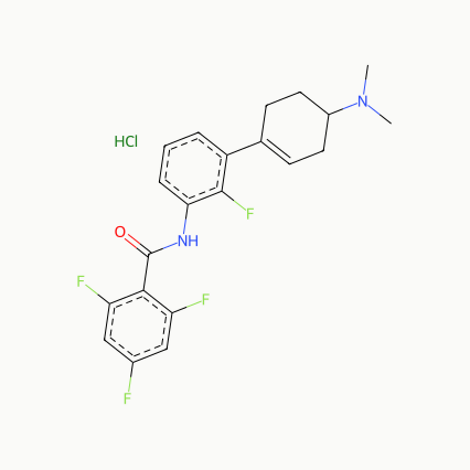 CN(C)C1CC=C(c2cccc(NC(=O)c3c(F)cc(F)cc3F)c2F)CC1.Cl